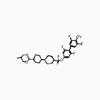 CC1COC(C2CCC(C3CCC(C(F)(F)Oc4cc(F)c(-c5cc(F)c(C#N)c(F)c5)c(F)c4)CC3)CC2)OC1